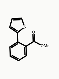 COC(=O)c1ccccc1-c1cccs1